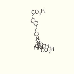 C[C@@H](NS(=O)(=O)N1CCN(c2ccc(CCc3ccc4cc(CCC(=O)O)ccc4c3)cc2)CC1)C(=O)O